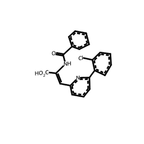 O=C(O)C(=Cc1cccc(-c2ccccc2Cl)n1)NC(=O)c1ccccc1